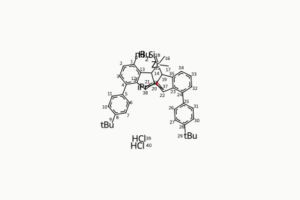 CCCCc1ccc(-c2ccc(C(C)(C)C)cc2)c2c1[CH]([Zr]([CH3])([CH3])(=[SiH2])[CH]1C(C(C)C)=Cc3c(-c4ccc(C(C)(C)C)cc4)cccc31)C(C)=C2.Cl.Cl